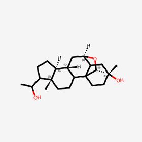 CC(O)C1CC[C@H]2[C@@H]3C[C@H]4O[C@H](C)C5(CC[C@@](C)(O)CC45)C3CC[C@]12C